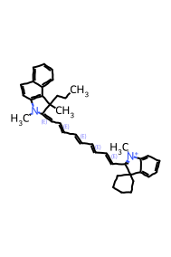 CCCC1(C)\C(=C/C=C/C=C/C=C/C=C/C2=[N+](C)c3ccccc3C23CCCCC3)N(C)c2ccc3ccccc3c21